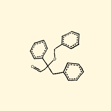 O=CC(Cc1ccccc1)(OCc1ccccc1)c1ccccc1